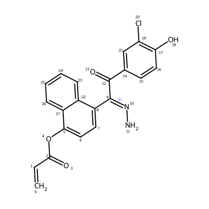 C=CC(=O)Oc1ccc(/C(=N\N)C(=O)c2ccc(O)c(Cl)c2)c2ccccc12